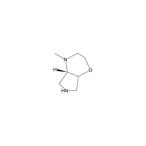 CN1CCOC2CNC[C@@H]21